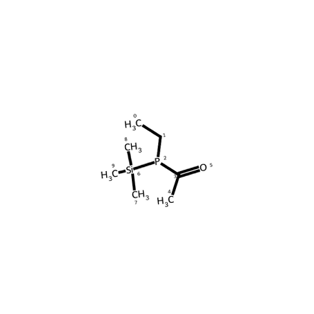 CCP(C(C)=O)[Si](C)(C)C